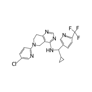 FC(F)(F)c1ccc(C(Nc2ncnc3c2CN(c2ccc(Cl)cn2)CC3)C2CC2)cn1